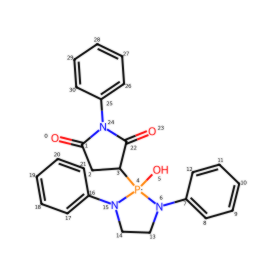 O=C1CC([P]2(O)N(c3ccccc3)CCN2c2ccccc2)C(=O)N1c1ccccc1